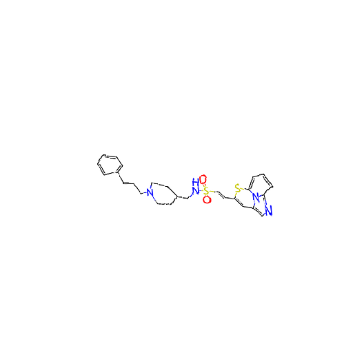 O=S(=O)(C=CC1=Cc2cnc3cccc(n23)S1)NCC1CCN(CCCc2ccccc2)CC1